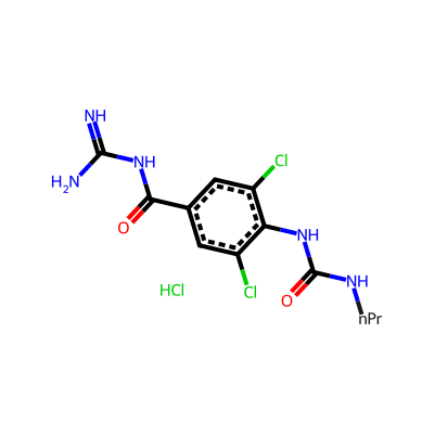 CCCNC(=O)Nc1c(Cl)cc(C(=O)NC(=N)N)cc1Cl.Cl